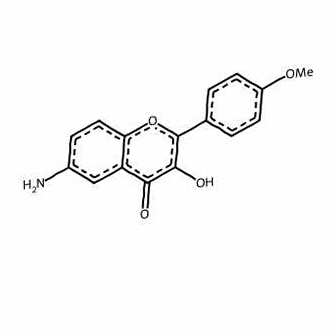 COc1ccc(-c2oc3ccc(N)cc3c(=O)c2O)cc1